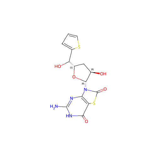 Nc1nc2c(sc(=O)n2[C@@H]2O[C@H](C(O)c3cccs3)C[C@H]2O)c(=O)[nH]1